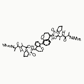 CNC(C)C(=O)NC(C)C(=O)N1CCC[C@H]1C(=O)N[C@@H]1CCOc2c(-c3cccc4c3OCC[C@H]4NC(=O)[C@@H]3CCCN3C(=O)C(C)NC(=O)C(C)NC)cccc21